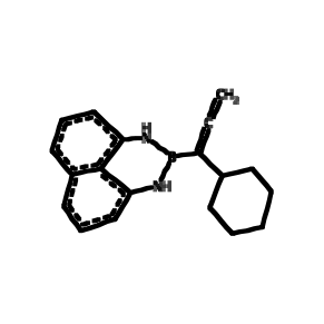 C=C=C(B1Nc2cccc3cccc(c23)N1)C1CCCCC1